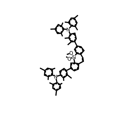 CO[Si]1(OC)c2cc(-c3ccc(N(c4c(C)cc(C)cc4C)c4c(C)cc(C)cc4C)c(C)c3C)ccc2C=Cc2ccc(-c3ccc(N(c4c(C)cc(C)cc4C)c4c(C)cc(C)cc4C)c(C)c3C)cc21